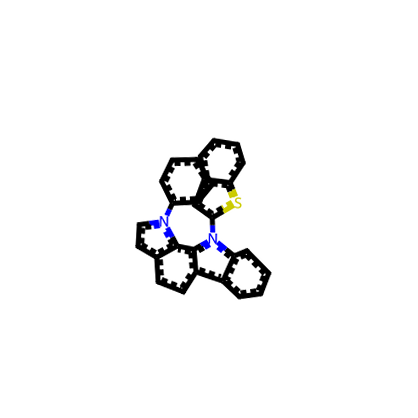 c1ccc(-n2ccc3ccc4c5ccccc5n(-c5cc6ccccc6s5)c4c32)cc1